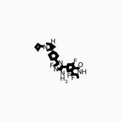 CC1NC(=O)c2c(F)cc(-c3nc(-c4ccc([C@]56C[C@H]5CN(C5CCC5)C6)cc4)c(F)nc3N)cc2C1(F)F